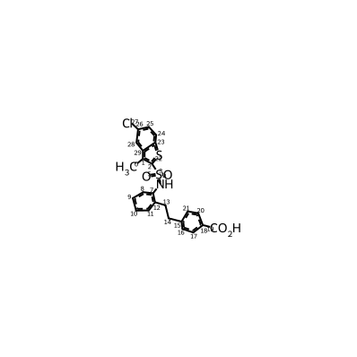 Cc1c(S(=O)(=O)Nc2ccccc2CCc2ccc(C(=O)O)cc2)sc2ccc(Cl)cc12